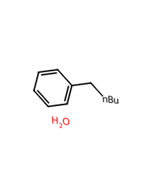 CCCCCc1ccccc1.O